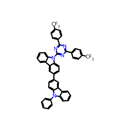 FC(F)(F)c1ccc(-c2nc(-c3ccc(C(F)(F)F)cc3)nc(-n3c4ccccc4c4cc(-c5ccc6c(c5)c5ccccc5n6-c5ccccc5)ccc43)n2)cc1